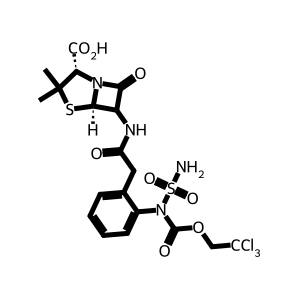 CC1(C)S[C@@H]2C(NC(=O)Cc3ccccc3N(C(=O)OCC(Cl)(Cl)Cl)S(N)(=O)=O)C(=O)N2[C@H]1C(=O)O